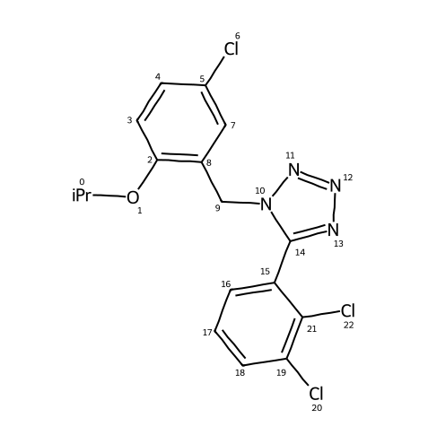 CC(C)Oc1ccc(Cl)cc1Cn1nnnc1-c1cccc(Cl)c1Cl